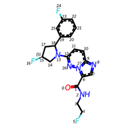 O=C(NCCF)c1cnc2ccc(N3C[C@@H](F)CC3c3cccc(F)c3)nn12